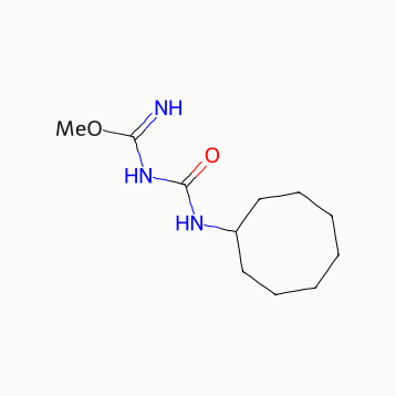 COC(=N)NC(=O)NC1CCCCCCC1